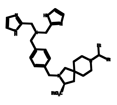 CCOC(=O)[C@@H]1CC2(CCN(C(CC)CC)CC2)CN1Cc1ccc(CN(Cc2ncc[nH]2)Cc2ncc[nH]2)cc1